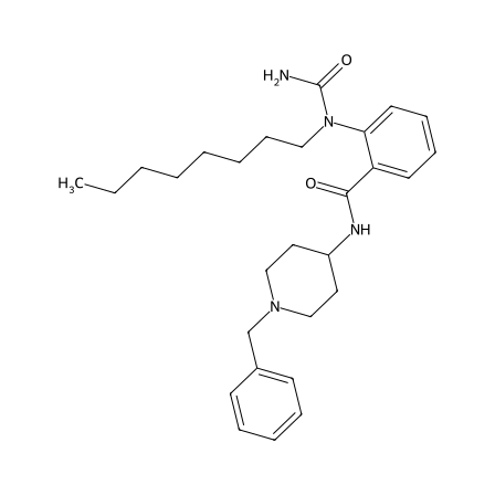 CCCCCCCCN(C(N)=O)c1ccccc1C(=O)NC1CCN(Cc2ccccc2)CC1